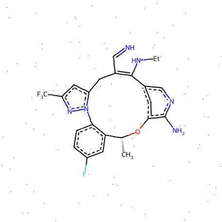 CCN/C1=C(\C=N)Cc2cc(C(F)(F)F)nn2-c2ccc(F)cc2[C@@H](C)Oc2cc1cnc2N